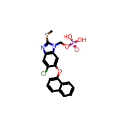 CSc1nc2cc(Cl)c(Oc3cccc4ccccc34)cc2n1COP(=O)(O)O